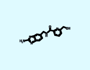 Nc1nc2ccc(CNC(=O)c3cccc(CO)n3)cc2s1